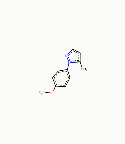 COc1ccc(-n2nccc2C)cc1